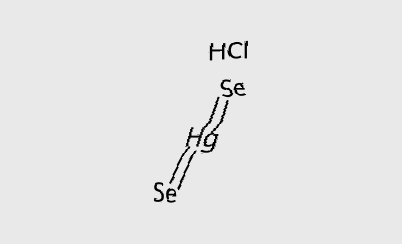 Cl.[Se]=[Hg]=[Se]